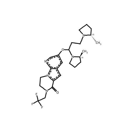 C[C@H]1CCCN1CCC(Oc1cnc2c(c1)cc1n2CCN(CC(F)(F)F)C1=O)N1CCC[C@@H]1C